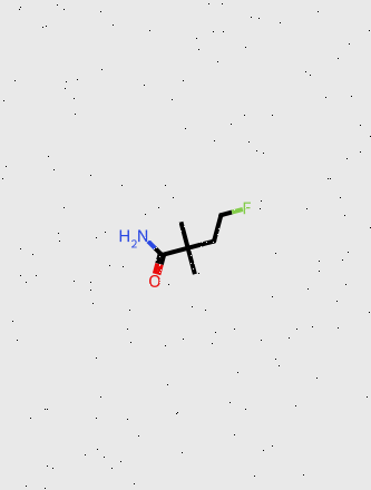 CC(C)(CCF)C(N)=O